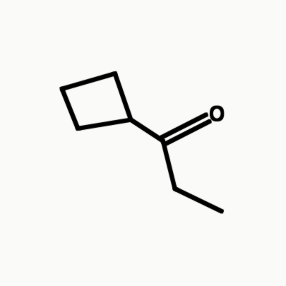 CCC(=O)C1CCC1